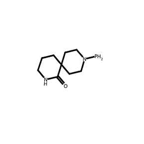 O=C1NCCCC12CCN(P)CC2